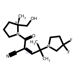 CC(C)(/C=C(/C#N)C(=O)N1CCC[C@]1(C)CO)N1CCC(F)(F)C1